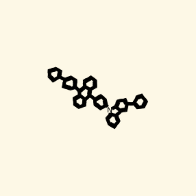 c1ccc(-c2ccc(-c3c4ccccc4c(-c4ccc(-n5c6ccccc6c6cc(-c7ccccc7)ccc65)cc4)c4ccccc34)cc2)cc1